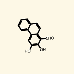 O=Cc1c(O)c(O)cc2c1ccc1ccccc12